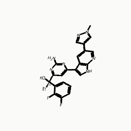 CC[C@@](O)(c1cc(-c2c[nH]c3ncc(-c4cnn(C)c4)cc23)nc(N)n1)c1cccc(F)c1F